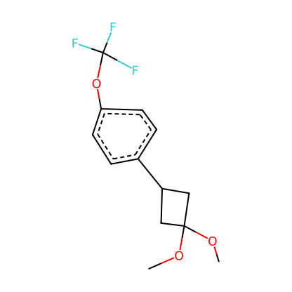 COC1(OC)CC(c2ccc(OC(F)(F)F)cc2)C1